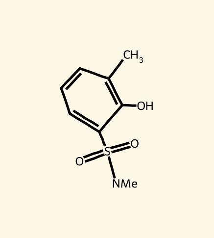 CNS(=O)(=O)c1cccc(C)c1O